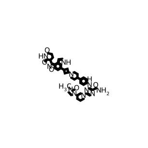 CN1CCN([C@@H]2CCCN(c3cnc(C(N)=O)c(Nc4ccc(C5CCN(C6CC(c7cc8onc(C9CCC(=O)NC9=O)c8c8cc[nH]c78)C6)CC5)cc4)n3)C2)C1=O